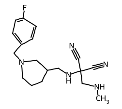 CNCC(C#N)(C#N)NCC1CCCN(Cc2ccc(F)cc2)C1